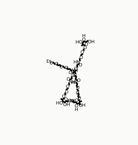 CCOCCOCCOCCOCCC(=O)NC(COCCC(=O)NCCOCCOCCOC1OC(CO)C(O)C(O)C1C)(COCCC(=O)NCCOCCOCCOC1OC(CO)C(O)C(O)C1C)COCCC(=O)NCCOCCOCCOC1OC(CO)C(O)C(O)C1C